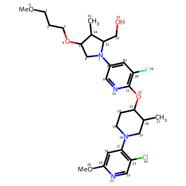 COCCCOC1CN(c2cnc(OC3CCN(c4cc(OC)ncc4Cl)CC3C)c(F)c2)C(CO)C1C